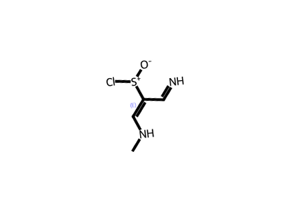 CN/C=C(\C=N)[S+]([O-])Cl